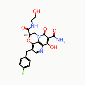 C[C@@]1(C(=O)NCCO)Cn2c(=O)c(C(N)=O)c(O)c3ncc(Cc4ccc(F)cc4)c(c32)O1